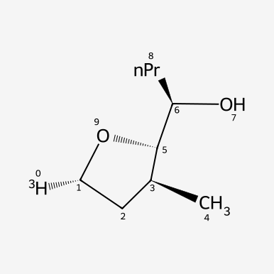 [3H][C@H]1C[C@H](C)[C@@H]([C@H](O)CCC)O1